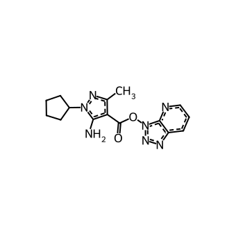 Cc1nn(C2CCCC2)c(N)c1C(=O)On1nnc2cccnc21